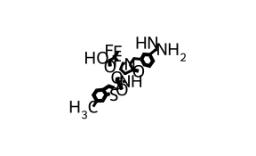 Cc1ccc2cc(S(=O)(=O)NC3CCN(Cc4cccc(C(=N)N)c4)C3=O)sc2c1.O=C(O)C(F)(F)F